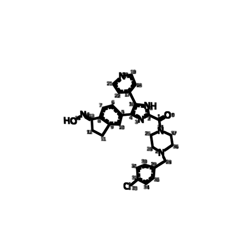 O=C(c1nc(-c2ccc3c(c2)CC/C3=N\O)c(-c2ccncc2)[nH]1)N1CCN(Cc2ccc(Cl)cc2)CC1